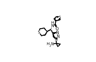 NC1(n2cc([C@@H](NC(=O)c3ccsc3)C3CCSCC3)nn2)CC1